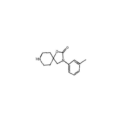 Cc1cccc(N2CC3(CCNCC3)OC2=O)c1